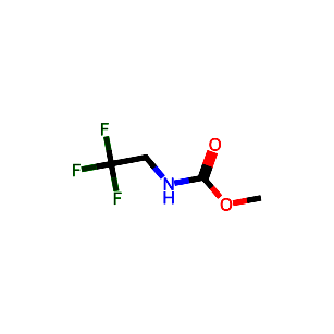 COC(=O)NCC(F)(F)F